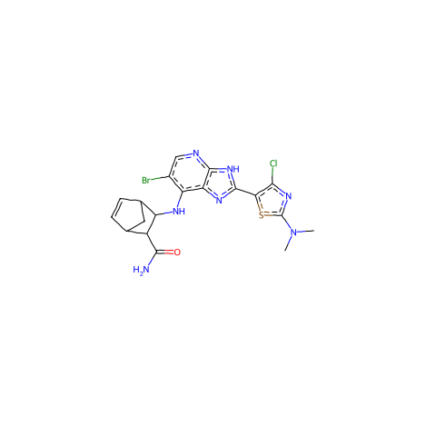 CN(C)c1nc(Cl)c(-c2nc3c(NC4C5C=CC(C5)C4C(N)=O)c(Br)cnc3[nH]2)s1